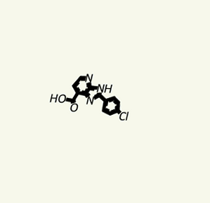 O=C(O)c1ccnc2[nH]c(-c3ccc(Cl)cc3)nc12